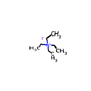 CC[N+](CC)(CC)CC.[I-]